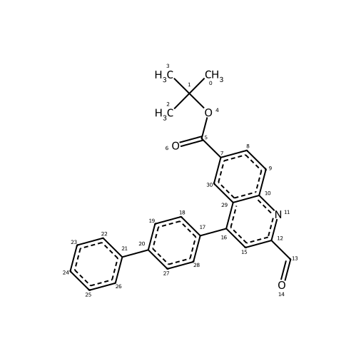 CC(C)(C)OC(=O)c1ccc2nc(C=O)cc(-c3ccc(-c4ccccc4)cc3)c2c1